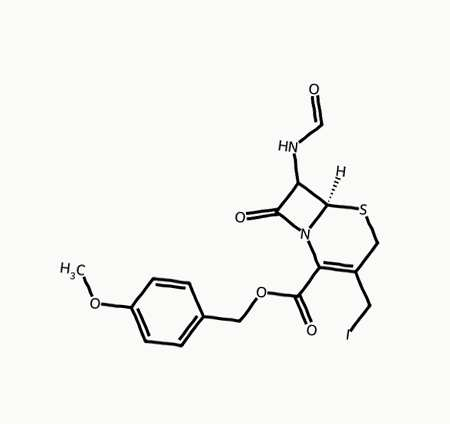 COc1ccc(COC(=O)C2=C(CI)CS[C@@H]3C(NC=O)C(=O)N23)cc1